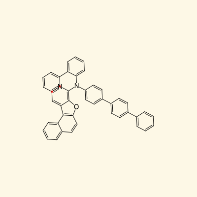 c1ccc(-c2ccc(-c3ccc(N(c4ccccc4-c4ccccc4)c4nccc5c4oc4ccc6ccccc6c45)cc3)cc2)cc1